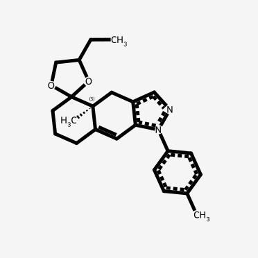 CCC1COC2(CCCC3=Cc4c(cnn4-c4ccc(C)cc4)C[C@@]32C)O1